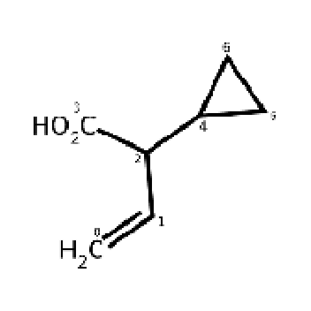 C=CC(C(=O)O)C1CC1